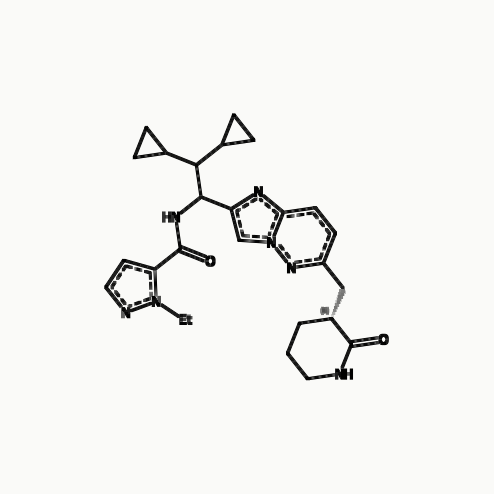 CCn1nccc1C(=O)NC(c1cn2nc(C[C@H]3CCCNC3=O)ccc2n1)C(C1CC1)C1CC1